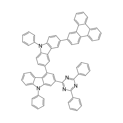 c1ccc(-c2nc(-c3ccccc3)nc(-c3cc(-c4ccc5c(c4)c4cc(-c6ccc7c8ccccc8c8ccccc8c7c6)ccc4n5-c4ccccc4)c4c5ccccc5n(-c5ccccc5)c4c3)n2)cc1